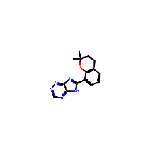 CC1(C)CCc2cccc(-c3nc4nncnc4[nH]3)c2O1